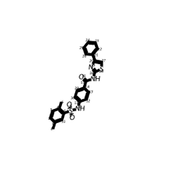 Cc1ccc(C)c(S(=O)(=O)Nc2ccc(C(=O)Nc3nc(-c4ccccc4)cs3)cc2)c1